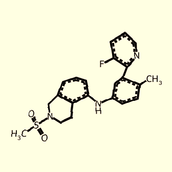 Cc1ccc(Nc2cccc3c2CCN(S(C)(=O)=O)C3)cc1-c1ncccc1F